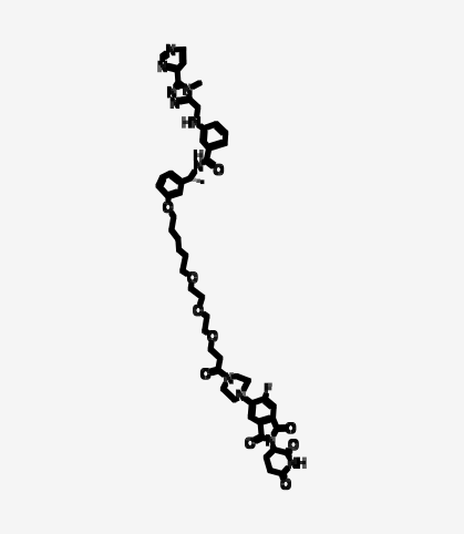 C[C@@H](NC(=O)c1cccc(NCc2nnc(-c3ccncn3)n2C)c1)c1cccc(OCCCCCCOCCOCCOCCC(=O)N2CCN(c3cc4c(cc3F)C(=O)N(C3CCC(=O)NC3=O)C4=O)CC2)c1